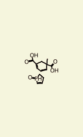 CC1(C(=O)O)C=CC=C(C(=O)O)C1.O=[PH]1C=CCC1